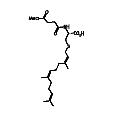 COC(=O)CCC(=O)N[C@@H](CSCC=C(C)CCC=C(C)CCC=C(C)C)C(=O)O